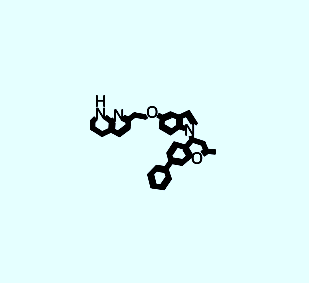 CC(=O)CC(c1ccc(-c2ccccc2)cc1)n1ccc2cc(OCCc3ccc4c(n3)NCCC4)ccc21